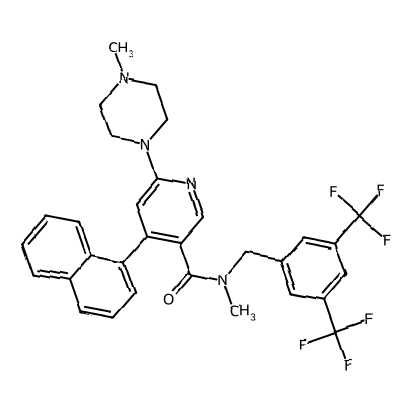 CN1CCN(c2cc(-c3cccc4ccccc34)c(C(=O)N(C)Cc3cc(C(F)(F)F)cc(C(F)(F)F)c3)cn2)CC1